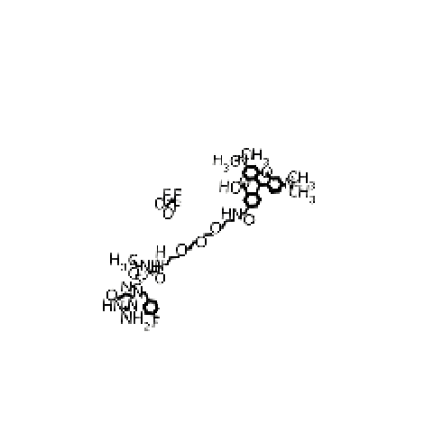 CC(=O)N[C@@H](CSc1nc2c(=O)[nH]c(N)nc2n1Cc1ccc(F)cc1)C(=O)NCCCOCCOCCOCCCNC(=O)c1ccc(-c2c3ccc(=[N+](C)C)cc-3oc3cc(N(C)C)ccc23)c(C(=O)O)c1.O=C([O-])C(F)(F)F